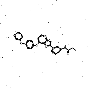 CCC(=O)Nc1cccc(-c2cc3nccc(Oc4ccc(Oc5ccccc5)cc4)c3o2)c1